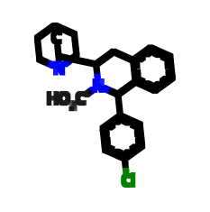 O=C(O)N1C(c2ccc(Cl)cc2)c2ccccc2CC1C1CC2CCN1CC2